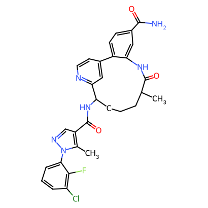 Cc1c(C(=O)NC2CCCC(C)C(=O)Nc3cc(C(N)=O)ccc3-c3ccnc2c3)cnn1-c1cccc(Cl)c1F